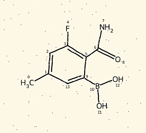 Cc1cc(F)c(C(N)=O)c(B(O)O)c1